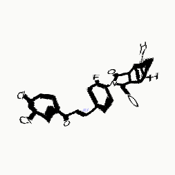 O=C(/C=C/c1ccc(N2C(=O)C3C(C2=O)C2C=CC3[C@H]3C[C@@H]23)c(F)c1)c1ccc(Cl)c(Cl)c1